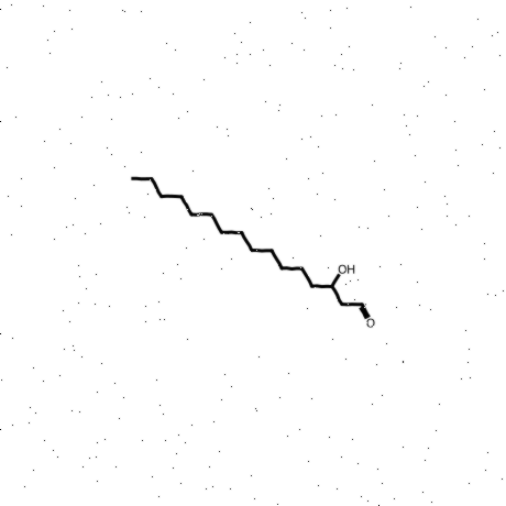 CCCCCCCCCCCCCC(O)C[C]=O